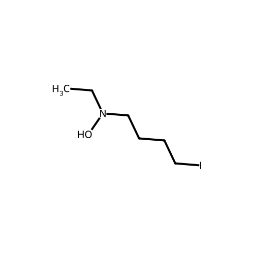 CCN(O)CCCCI